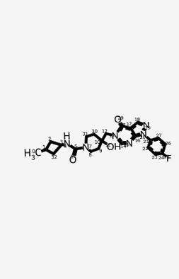 CC1CC(NC(=O)N2CCC(O)(Cn3cnc4c(cnn4-c4ccc(F)cc4)c3=O)CC2)C1